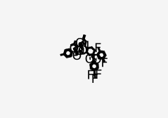 C=CCN([C@H]1CC[C@@](c2cc(F)ccc2F)(S(=O)(=O)c2ccc(C(F)(F)F)cc2)C[C@H]1COS(=O)(=O)c1ccc(C)cc1)S(=O)(=O)CC(C)C